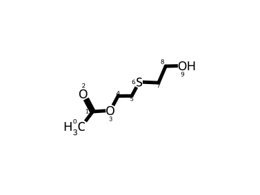 CC(=O)OCCSCCO